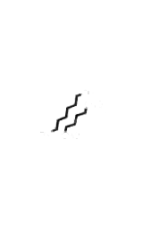 O=CCCCCC=O.OCCCCCCO